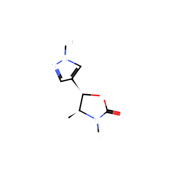 CC(C)N1C(=O)O[C@H](c2cnn(C)c2)[C@@H]1C